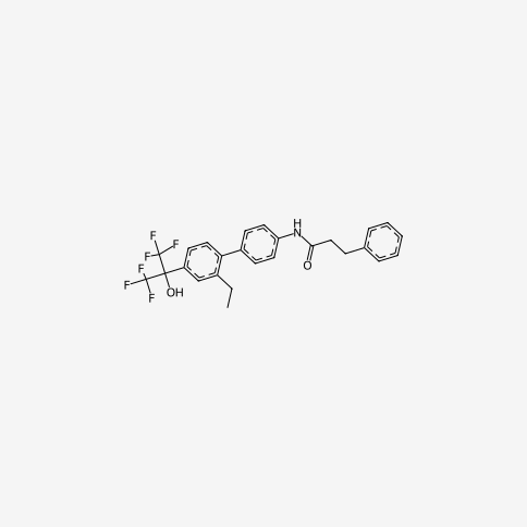 CCc1cc(C(O)(C(F)(F)F)C(F)(F)F)ccc1-c1ccc(NC(=O)CCc2ccccc2)cc1